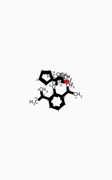 CC(C)c1cccc(C(C)C)c1[O][Ti]([CH3])([CH3])([CH3])([CH3])([CH3])([Cl])([Cl])[CH]1C=CC=C1